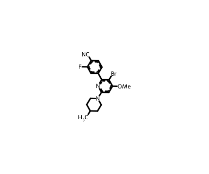 COc1cc(N2CCC(C)CC2)nc(-c2ccc(C#N)c(F)c2)c1Br